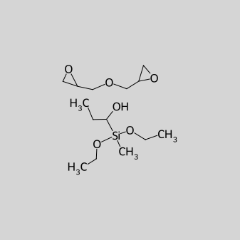 C(OCC1CO1)C1CO1.CCO[Si](C)(OCC)C(O)CC